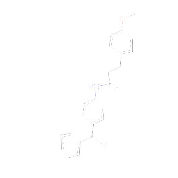 COc1ccc(CCC(=O)Nc2ccc(C(=O)c3ccccc3)cc2)cc1